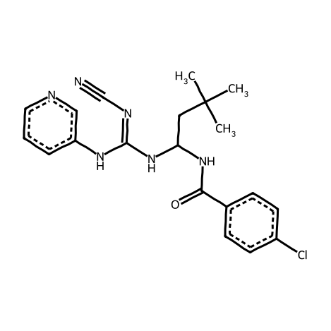 CC(C)(C)CC(NC(=O)c1ccc(Cl)cc1)N/C(=N/C#N)Nc1cccnc1